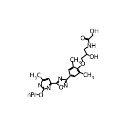 CCCOc1nc(C)cc(-c2nc(-c3cc(C)c(OCC(O)CNC(=O)CO)c(C)c3)no2)n1